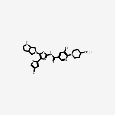 O=C(Nc1nc(-c2cc(Cl)cs2)c(N2CC3CCNC3C2)s1)c1cnc(N2CCC(C(=O)O)CC2)c(Cl)c1